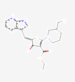 CCOC(=O)C1=C(N2CCCC(CO)C2)OC(=Cc2c[nH]c3ncccc23)C1=O